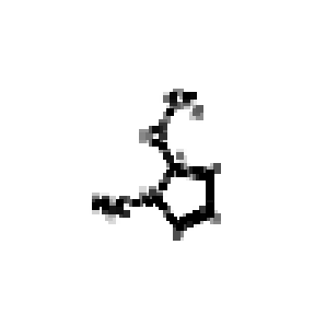 Cn1[c]ccc1OC(F)(F)F